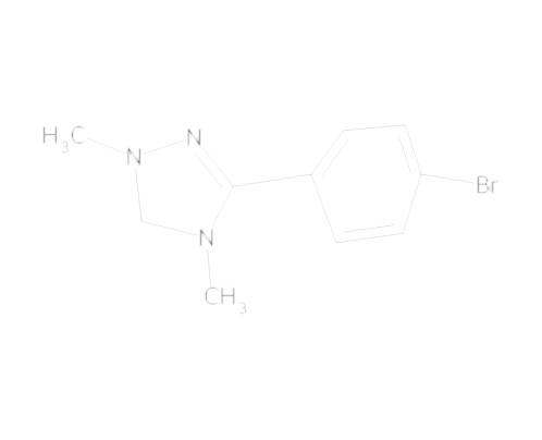 CN1CN(C)C(c2ccc(Br)cc2)=N1